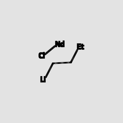 [Cl][Nd].[Li][CH2]CCC